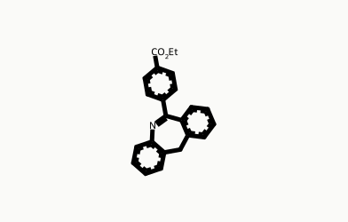 CCOC(=O)c1ccc(C2=Nc3ccccc3Cc3ccccc32)cc1